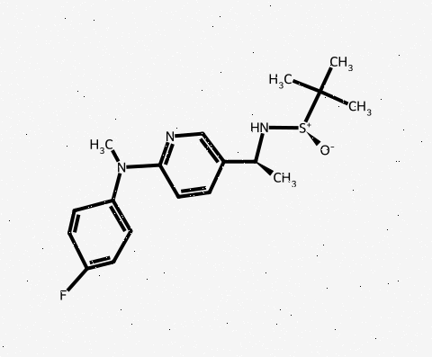 C[C@H](N[S@+]([O-])C(C)(C)C)c1ccc(N(C)c2ccc(F)cc2)nc1